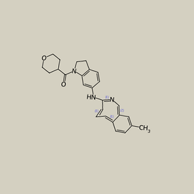 Cc1ccc2/c(c1)=C\N=C(Nc1ccc3c(c1)N(C(=O)C1CCOCC1)CC3)/C=C/C=2